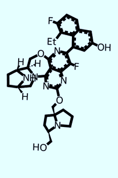 CCc1c(F)ccc2cc(O)cc(-c3nc4c5c(nc(OC[C@@]67CCCN6[C@@H](CO)CC7)nc5c3F)N3C[C@@H]5CC[C@@H](N5)[C@H]3CO4)c12